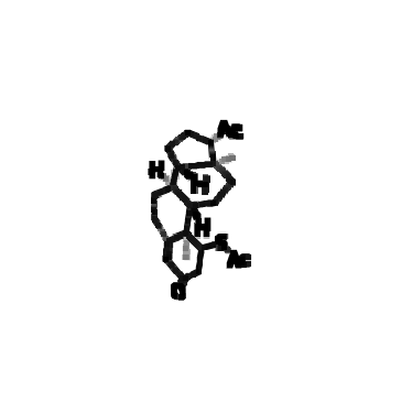 CC(=O)SC1CC(=O)C=C2CC[C@H]3[C@@H]4CC[C@H](C(C)=O)[C@@]4(C)CC[C@@H]3[C@]21C